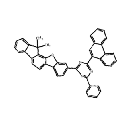 CC1(C)c2ccccc2-c2ccc3c(oc4cc(-c5nc(-c6ccccc6)nc(-c6cc7ccccc7c7ccccc67)n5)ccc43)c21